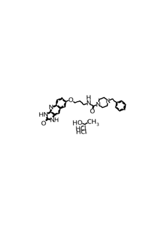 CCO.Cl.Cl.O=C(NCCCOc1ccc2nc3[nH]c(=O)[nH]c3cc2c1)N1CCN(Cc2ccccc2)CC1